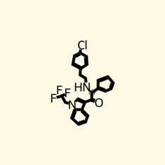 O=C(c1cn(CC(F)(F)F)c2ccccc12)[C@@H](NCCc1ccc(Cl)cc1)c1ccccc1